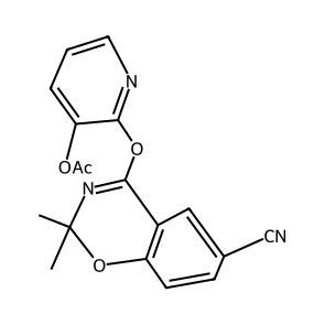 CC(=O)Oc1cccnc1OC1=NC(C)(C)Oc2ccc(C#N)cc21